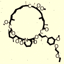 CCOCCO[C@@H]1CC[C@@H](C[C@H](C)C2CC(=O)[C@H](C)/C=C(\C)C[C@@H](OC)C(=O)[C@@H](C)C[C@@H](C)/C=C/C=C/C=C(\C)[C@@H](OC)C[C@H]3CC[C@H](C)C(O3)C(=O)C(=O)N3CCCC[C@@H]3C(=O)O2)C[C@H]1OC